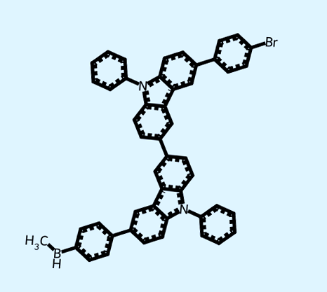 CBc1ccc(-c2ccc3c(c2)c2cc(-c4ccc5c(c4)c4cc(-c6ccc(Br)cc6)ccc4n5-c4ccccc4)ccc2n3-c2ccccc2)cc1